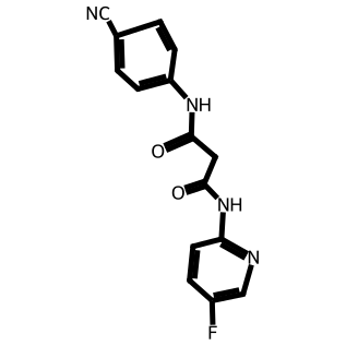 N#Cc1ccc(NC(=O)CC(=O)Nc2ccc(F)cn2)cc1